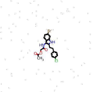 CC(=O)OCC(=O)Nc1c(CCc2ccc(Cl)cc2)[nH]c2cc(Br)ccc12